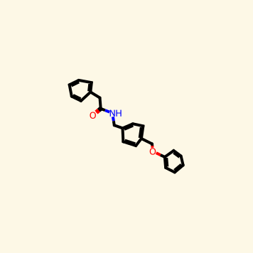 O=C(Cc1ccccc1)NCc1ccc(COc2ccccc2)cc1